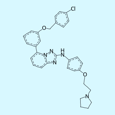 Clc1ccc(COc2cccc(-c3cccc4nc(Nc5ccc(OCCN6CCCC6)cc5)nn34)c2)cc1